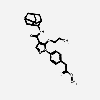 CCCSc1c(C(=O)NC2C3CC4CC(C3)CC2C4)cnn1-c1ccc(CC(=O)OC)cc1